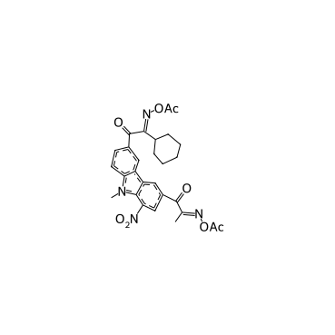 CC(=O)O/N=C(\C)C(=O)c1cc([N+](=O)[O-])c2c(c1)c1cc(C(=O)/C(=N/OC(C)=O)C3CCCCC3)ccc1n2C